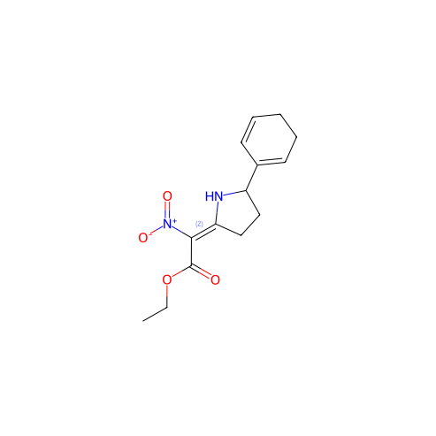 CCOC(=O)/C(=C1\CCC(C2=CCCC=C2)N1)[N+](=O)[O-]